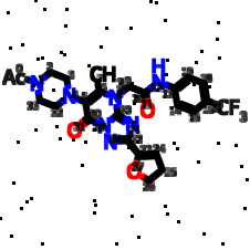 CC(=O)N1CCN(c2c(C)n(CC(=O)Nc3ccc(C(F)(F)F)cc3)c3nc(C4=CCCO4)nn3c2=O)CC1